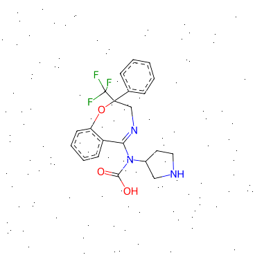 O=C(O)N(C1=NCC(c2ccccc2)(C(F)(F)F)Oc2ccccc21)C1CCNC1